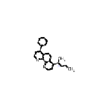 C=C/C=C(\C)c1ccnc2c1ccc1c(-c3ccccc3)ccnc12